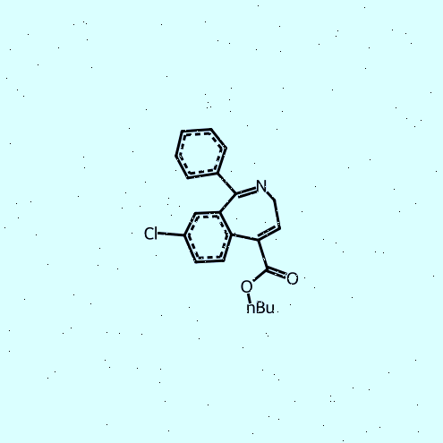 CCCCOC(=O)C1=CCN=C(c2ccccc2)c2cc(Cl)ccc21